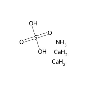 N.O=S(=O)(O)O.[CaH2].[CaH2]